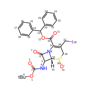 CC(C)(C)OC(=O)NC1C(=O)N2C(C(=O)OC(c3ccccc3)c3ccccc3)=C(CI)C[S+]([O-])[C@H]12